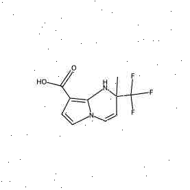 CC1(C(F)(F)F)C=Cn2ccc(C(=O)O)c2N1